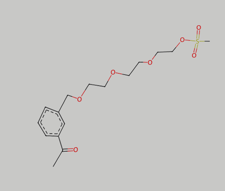 CC(=O)c1cccc(COCCOCCOCCOS(C)(=O)=O)c1